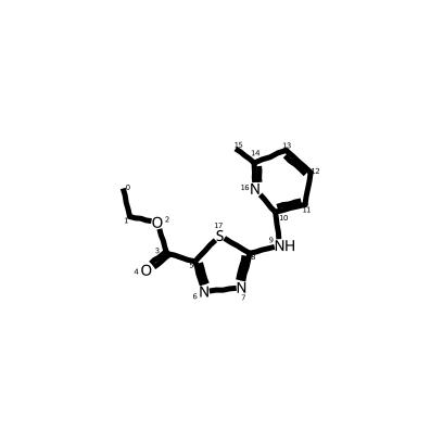 CCOC(=O)c1nnc(Nc2cccc(C)n2)s1